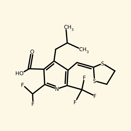 CC(C)Cc1c(C=C2SCCS2)c(C(F)(F)F)nc(C(F)F)c1C(=O)O